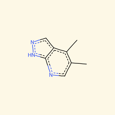 Cc1cnc2[nH]ncc2c1C